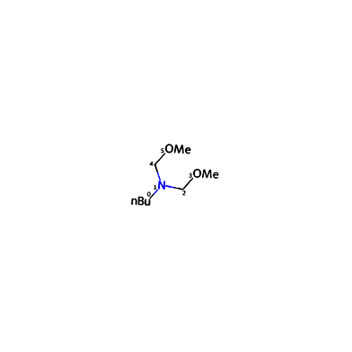 [CH2]CCCN(COC)COC